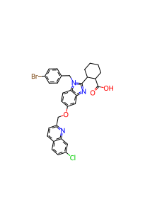 O=C(O)C1CCCCC1c1nc2cc(OCc3ccc4ccc(Cl)cc4n3)ccc2n1Cc1ccc(Br)cc1